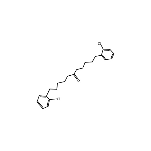 O=C(CCCCCc1ccccc1Cl)CCCCCc1ccccc1Cl